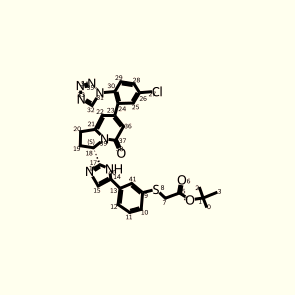 CC(C)(C)OC(=O)CSc1cccc(-c2cnc([C@@H]3CCc4cc(-c5cc(Cl)ccc5-n5cnnn5)cc(=O)n43)[nH]2)c1